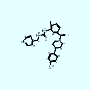 Cc1ccc(C(=O)N2CCC(c3ccc(C#N)cc3)CC2)cc1NC(=O)NCc1ccncc1